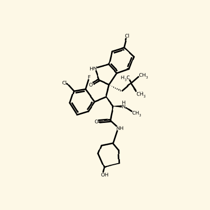 CN[C@@H](C(=O)NC1CCC(O)CC1)C(c1cccc(Cl)c1F)[C@@]1(CC(C)(C)C)C(=O)Nc2cc(Cl)ccc21